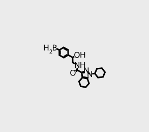 Bc1ccc(C(O)CNC(=O)c2nn(C3CCCCC3)c3c2CCCC3)cc1